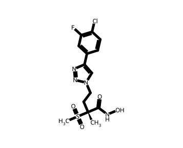 C[C@@](CCn1cc(-c2ccc(Cl)c(F)c2)nn1)(C(=O)NO)S(C)(=O)=O